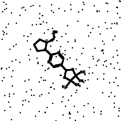 CC1(C)OB(c2cnc(N3CCC[C@H]3CO)nc2)OC1(C)C